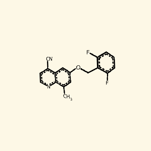 Cc1cc(OCc2c(F)cccc2F)cc2c(C#N)ccnc12